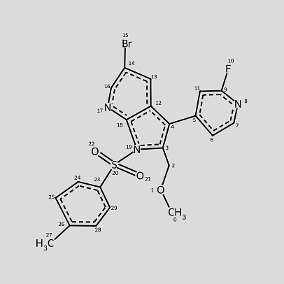 COCc1c(-c2ccnc(F)c2)c2cc(Br)cnc2n1S(=O)(=O)c1ccc(C)cc1